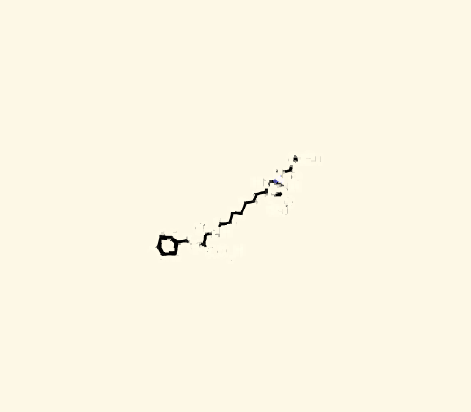 CC(C)(C)OC(=O)/N=C(/NCCCCCCCCNC(=O)C(OCc1ccccc1)C(=O)O)NC(=O)OC(C)(C)C